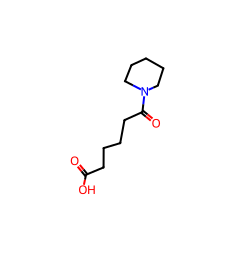 O=C(O)CCCCC(=O)N1CCCCC1